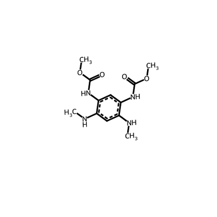 CNc1cc(NC)c(NC(=O)OC)cc1NC(=O)OC